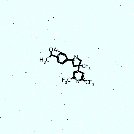 CC(=O)OC(C)c1ccc(C2=NCC(c3cc(C(F)(F)F)nc(C(F)(F)F)c3)(C(F)(F)F)C2)cc1